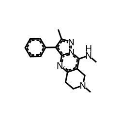 CNc1c2c(nc3c(-c4ccccc4)c(C)nn13)CCN(C)C2